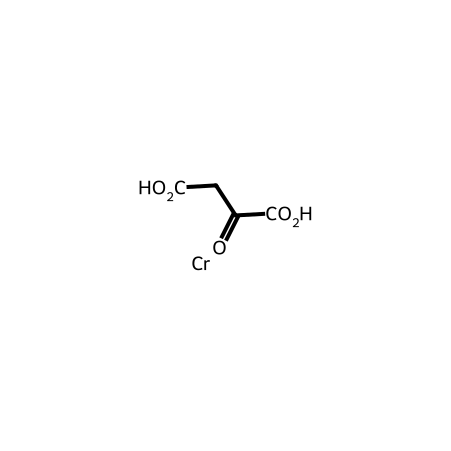 O=C(O)CC(=O)C(=O)O.[Cr]